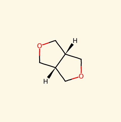 C1OC[C@H]2COC[C@@H]12